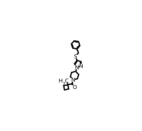 CC1(C(=O)N2CCC(n3cc(SCc4ccccc4)cn3)CC2)CCC1